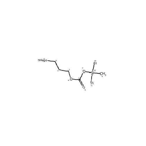 CCCCCCCCCCOC(=O)O[Si](C)(CC)CC